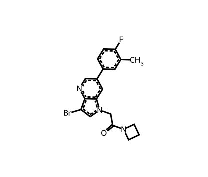 Cc1cc(-c2cnc3c(Br)cn(CC(=O)N4CCC4)c3c2)ccc1F